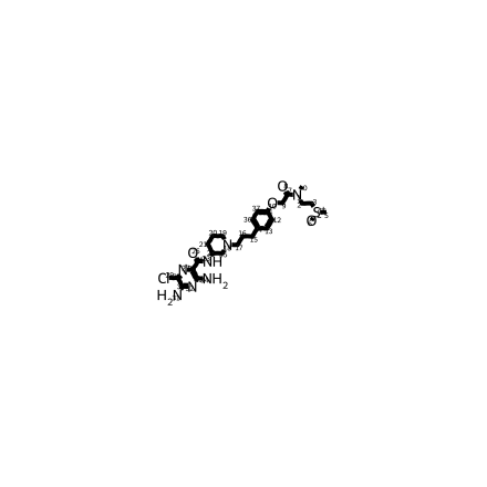 CN(CC[S+](C)[O-])C(=O)COc1ccc(CCCN2CCCC(NC(=O)c3nc(Cl)c(N)nc3N)C2)cc1